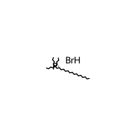 Br.CCCCCCCCCCCCCCCC[P](CCCC)(CCCC)CCCC